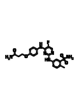 Cc1ccc(Nc2ncc(F)c(Nc3ccc(OCCC(N)=O)cc3)n2)cc1S(N)(=O)=O